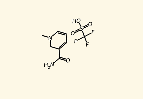 CN1C=CC=C(C(N)=O)C1.O=S(=O)(O)C(F)(F)F